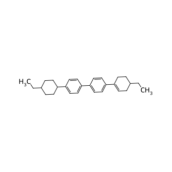 CCC1CC=C(c2ccc(-c3ccc(C4CCC(CC)CC4)cc3)cc2)CC1